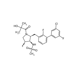 CC(C)(O)C(=O)N1C[C@H](F)[C@H](NS(C)(=O)=O)[C@@H]1Cc1cccc(-c2cc(F)cc(Cl)c2)c1F